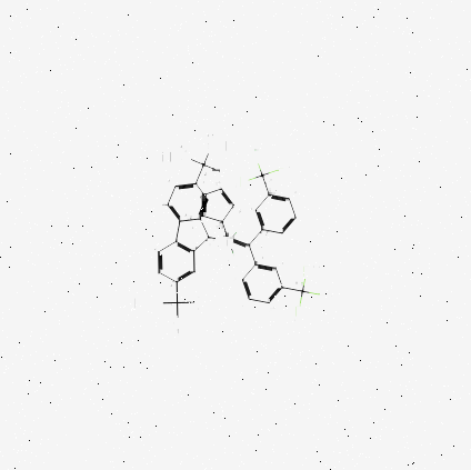 CC(C)(C)c1ccc2c(c1)[CH]([Zr]([Cl])([Cl])(=[C](c1cccc(C(F)(F)F)c1)c1cccc(C(F)(F)F)c1)[CH]1C=CC=C1)c1cc(C(C)(C)C)ccc1-2